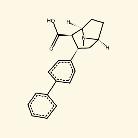 CN1[C@H]2CC[C@@H]1[C@H](C(=O)O)[C@@H](c1ccc(-c3ccccc3)cc1)C2